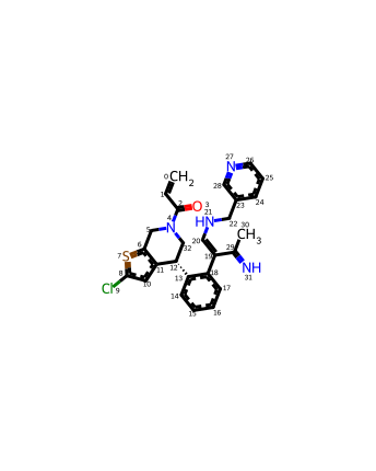 C=CC(=O)N1Cc2sc(Cl)cc2[C@@H](c2ccccc2/C(=C/NCc2cccnc2)C(C)=N)C1